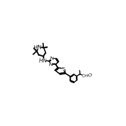 CC(C=O)c1cccc(-c2ccc(-c3ccnc(NC4CC(C)(C)NC(C)(C)C4)n3)s2)c1